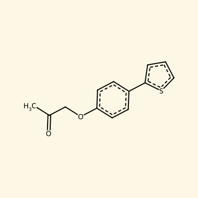 CC(=O)COc1ccc(-c2cccs2)cc1